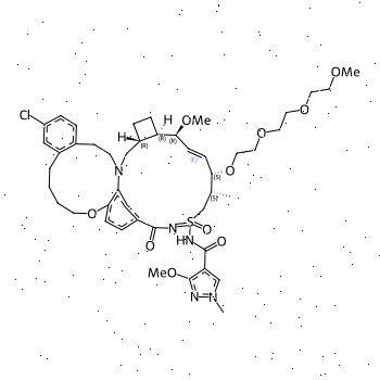 COCCOCCOCCO[C@H]1/C=C/[C@H](OC)[C@@H]2CC[C@H]2CN2CCc3ccc(Cl)cc3CCCCOc3ccc(cc32)C(=O)N=S(=O)(NC(=O)c2cn(C)nc2OC)C[C@H]1C